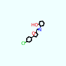 Oc1ccccc1N=Cc1ccc(-c2ccc(Cl)cc2)o1